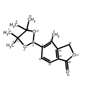 Cc1c(B2OC(C)(C)C(C)(C)O2)ccc2c1COC2=O